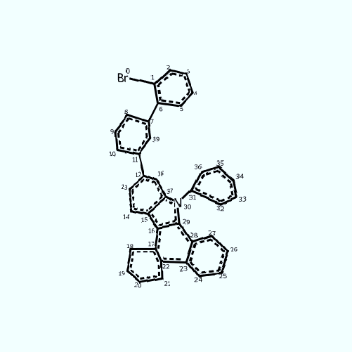 Brc1ccccc1-c1cccc(-c2ccc3c4c5ccccc5c5ccccc5c4n(-c4ccccc4)c3c2)c1